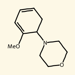 COC1=CC=CCC1N1CCOCC1